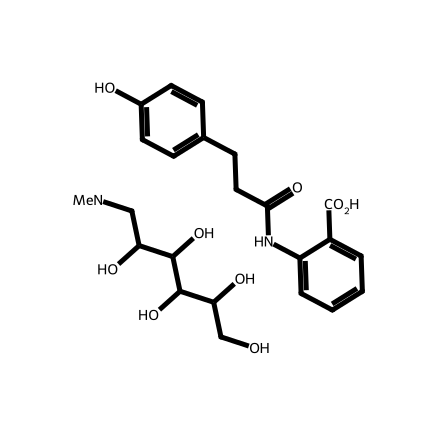 CNCC(O)C(O)C(O)C(O)CO.O=C(CCc1ccc(O)cc1)Nc1ccccc1C(=O)O